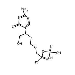 Nc1ccn(C(CO)CCOCP(=O)(O)OP(=O)(O)O)c(=O)n1